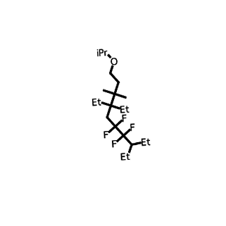 CCC(CC)C(F)(F)C(F)(F)CC(CC)(CC)C(C)(C)CCOC(C)C